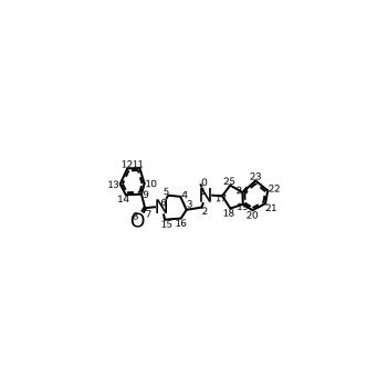 CN(CC1CCN(C(=O)c2ccccc2)CC1)C1Cc2ccccc2C1